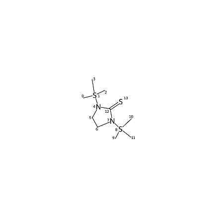 CS(C)(C)N1CCN(S(C)(C)C)C1=S